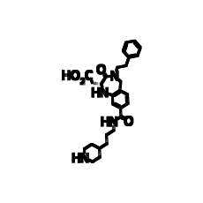 O=C(O)C[C@H]1Nc2cc(C(=O)NCCCC3CCNCC3)ccc2CN(CCc2ccccc2)C1=O